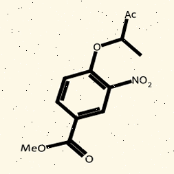 COC(=O)c1ccc(OC(C)C(C)=O)c([N+](=O)[O-])c1